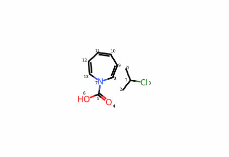 CC(C)Cl.O=C(O)N1C=CC=CC=C1